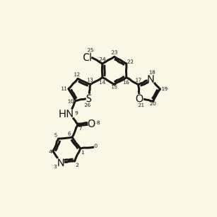 Cc1cnccc1C(=O)Nc1ccc(-c2cc(-c3ncco3)ccc2Cl)s1